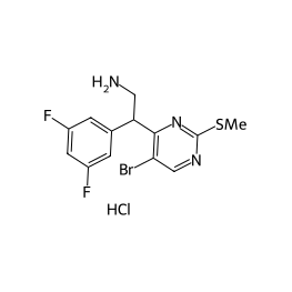 CSc1ncc(Br)c(C(CN)c2cc(F)cc(F)c2)n1.Cl